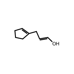 OC=CCC1=CCCC1